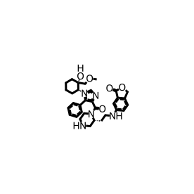 COC[C@]1(O)CCCC[C@H]1n1cnc(C(=O)N2CCNC[C@H]2CCNc2ccc3c(c2)C(=O)OC3)c1-c1ccccc1